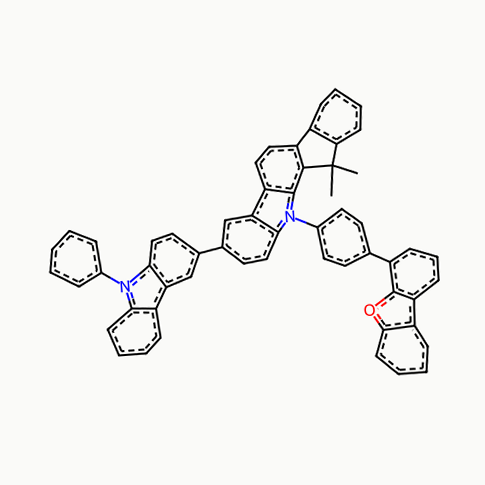 CC1(C)c2ccccc2-c2ccc3c4cc(-c5ccc6c(c5)c5ccccc5n6-c5ccccc5)ccc4n(-c4ccc(-c5cccc6c5oc5ccccc56)cc4)c3c21